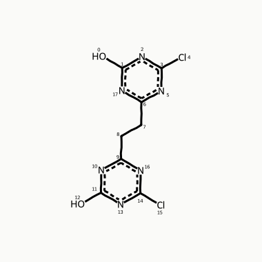 Oc1nc(Cl)nc(CCc2nc(O)nc(Cl)n2)n1